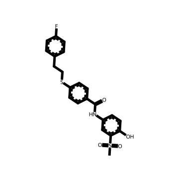 CS(=O)(=O)c1cc(NC(=O)c2ccc(SCCc3ccc(F)cc3)cc2)ccc1O